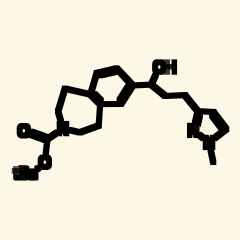 Cn1ccc(CCC(O)c2ccc3c(c2)CCN(C(=O)OC(C)(C)C)CC3)n1